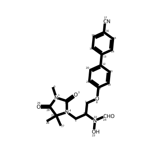 CN1C(=O)N(CC(COc2ccc(-c3ccc(C#N)cc3)cc2)N(O)C=O)C(C)(C)C1=O